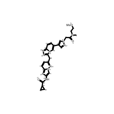 COCCN(C)C(=O)Cn1cc(-c2ccc3nnc(Cc4ccc5nc(NC(=O)C6CC6)cn5n4)n3c2)cn1